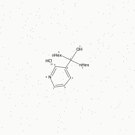 CCCCCCC(O)(CCCCCC)c1cccnc1.Cl